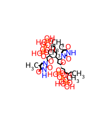 CCC=CCC(C1C[C@@H](C(CC=C(C)CC)OP(=O)(O)OP(=O)(O)OP(=O)(O)O)O[C@H]1n1cc(C)c(=O)[nH]c1=O)[C@H]1O[C@@H](n2cc(C)c(=O)[nH]c2=O)C(OP(=O)(O)OP(=O)(O)OP(=O)(O)O)[C@@H]1C